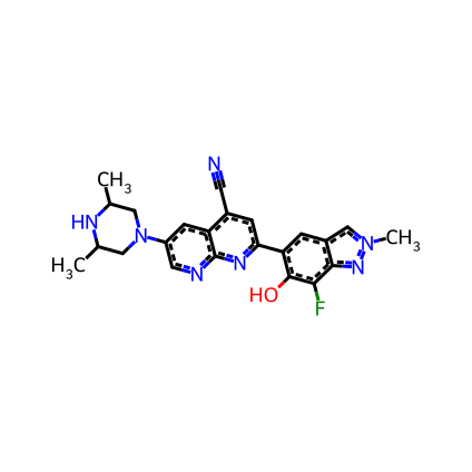 CC1CN(c2cnc3nc(-c4cc5cn(C)nc5c(F)c4O)cc(C#N)c3c2)CC(C)N1